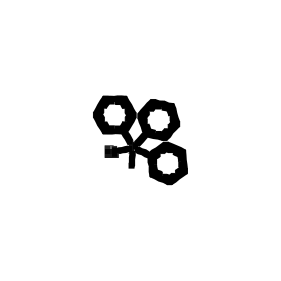 CCP(C)(c1ccccc1)(c1ccccc1)c1ccccc1